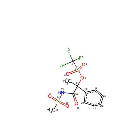 CC(OS(=O)(=O)C(F)(F)F)(C(=O)NS(C)(=O)=O)c1ccccc1